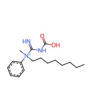 CCCCCCCC[N+](C)(C(=N)NC(=O)O)c1ccccc1